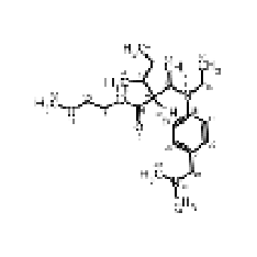 CCC(C)C(C)(C(=O)OCCOC)C(C)N(CC)c1ccc(CN(C)C)cc1